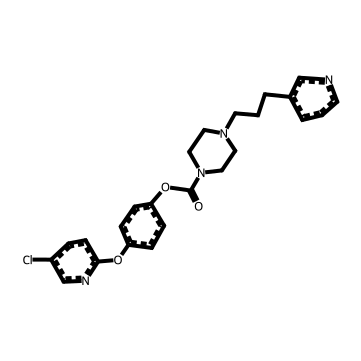 O=C(Oc1ccc(Oc2ccc(Cl)cn2)cc1)N1CCN(CCCc2cccnc2)CC1